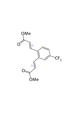 COC(=O)/C=C/c1ccc(C(F)(F)F)cc1/C=C/C(=O)OC